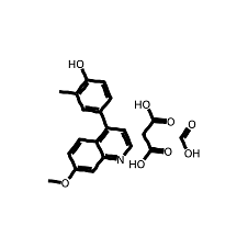 COc1ccc2c(-c3ccc(O)c(C)c3)ccnc2c1.O=C(O)CC(=O)O.O=CO